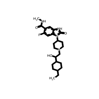 CCC1CCC(C(O)CN2CCC(n3c(=O)[nH]c4cc(C(=O)NC)c(F)cc43)CC2)CC1